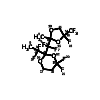 CC(F)(F)C1(C(F)(F)C2(C)OCC(F)(C(F)(F)F)O2)OCCC(F)(F)O1